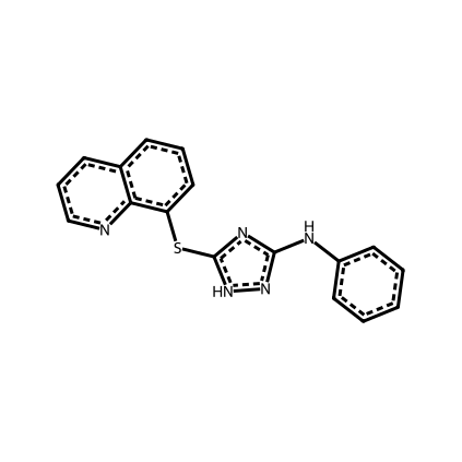 c1ccc(Nc2n[nH]c(Sc3cccc4cccnc34)n2)cc1